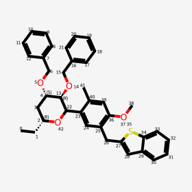 CC[C@@H]1C[C@H](OCc2ccccc2)[C@@H](OCc2ccccc2)C(c2cc(Cc3cc4ccccc4s3)c(OC)cc2C)O1